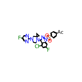 CC(=O)c1ccc(S(=O)(=O)n2nc(N3CCN(c4ncc(F)cn4)CC34CC4)c3c(Cl)cc(F)cc32)cc1